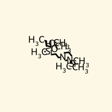 CCCC(OC)(OC)[SiH](C)CCCN1CCCN([Si](C)(C)C)C1